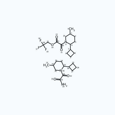 CC1CCC(C2CCC2)N(C(=O)C(=O)OCC(F)(F)F)C1.CC1CCC(C2CCC2)N(C(=O)C(N)=O)C1